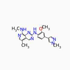 CNc1ncc(C)c2cnc(Nc3ccc(-c4cnn(C)c4)cc3OC)nc12